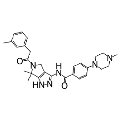 Cc1cccc(CC(=O)N2Cc3c(NC(=O)c4ccc(N5CCN(C)CC5)cc4)n[nH]c3C2(C)C)c1